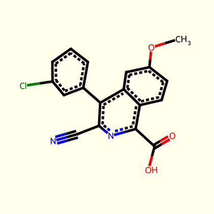 COc1ccc2c(C(=O)O)nc(C#N)c(-c3cccc(Cl)c3)c2c1